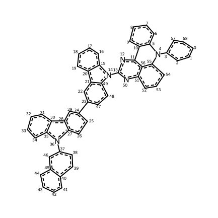 c1ccc(N2c3ccccc3-c3nc(-n4c5ccccc5c5cc(-c6ccc7c(c6)c6ccccc6n7-c6ccc7ccccc7c6)ccc54)nc4cccc2c34)cc1